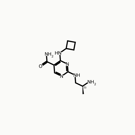 C[C@H](N)CNc1ncc(C(N)=O)c(NC2CCC2)n1